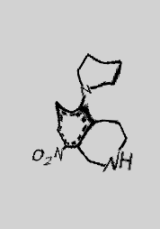 O=[N+]([O-])c1ccc(N2CCCC2)c2c1CNCC2